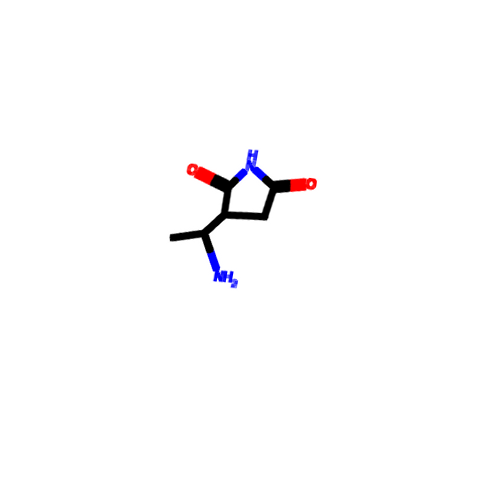 CC(N)C1CC(=O)NC1=O